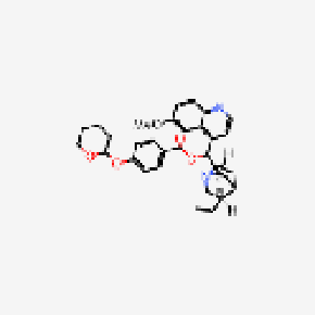 C=C[C@H]1CN2CCC1C[C@H]2C(OC(=O)c1ccc(OC2CCCCO2)cc1)c1ccnc2ccc(OC)cc12